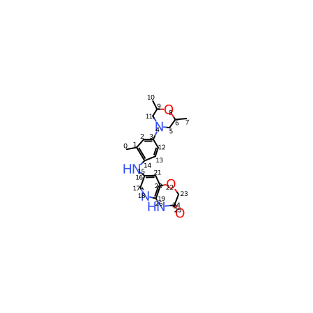 Cc1cc(N2CC(C)OC(C)C2)ccc1Nc1cnc2c(c1)OCC(=O)N2